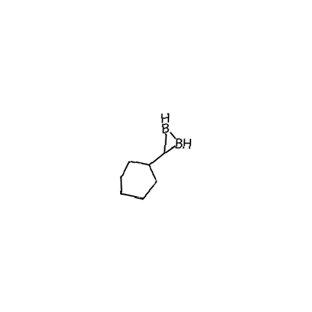 B1BC1C1CCCCC1